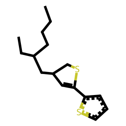 CCCCC(CC)CC1C=C(c2cccs2)SC1